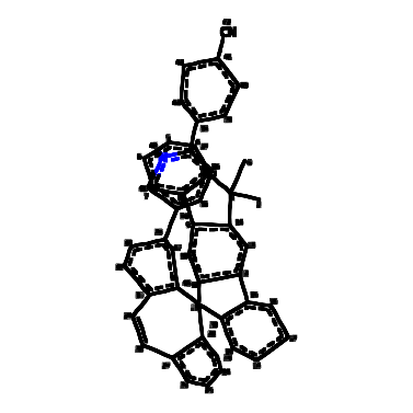 CC1(C)c2ccccc2-c2cc3c(cc21)-c1ccccc1C31c2ccccc2C=Cc2ccc(-c3ccc(-c4ccc(C#N)cc4)nc3)cc21